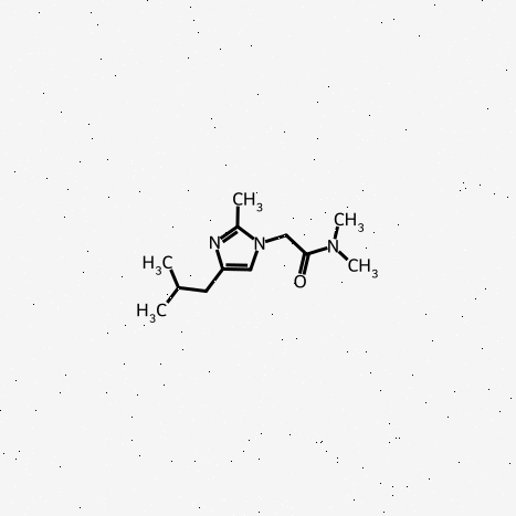 Cc1nc(CC(C)C)cn1CC(=O)N(C)C